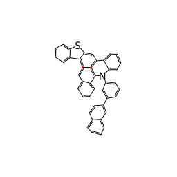 c1cc(-c2ccc3ccccc3c2)cc(N(c2ccccc2-c2ccc3c(c2)sc2ccccc23)c2cccc3ccccc23)c1